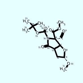 COC(=O)[C@@]1(C=O)C2O[C@H](OC)CC2C(=O)N1C(=O)OC(C)(C)C